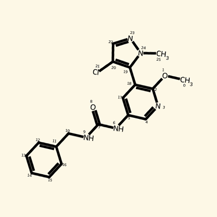 COc1ncc(NC(=O)NCc2ccccc2)cc1-c1c(Cl)cnn1C